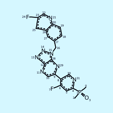 CP(C)(=O)c1cc(F)c(-c2cnc3nnn(Cc4ccc5ncc(F)cc5c4)c3n2)cn1